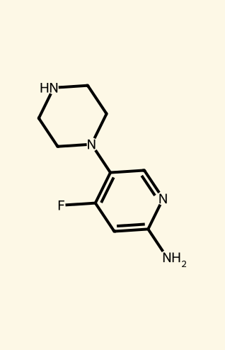 Nc1cc(F)c(N2CCNCC2)cn1